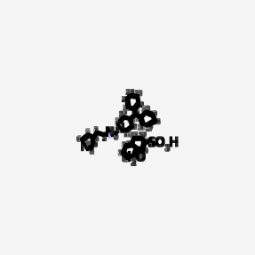 C(=N\CCc1ccncc1)/N1CCC(C(c2ccccc2)c2ccccc2)CC1.O.O=S(=O)(O)c1ccc2ccccc2c1